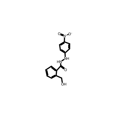 O=C(NNc1ccc([N+](=O)[O-])cc1)c1ccccc1CO